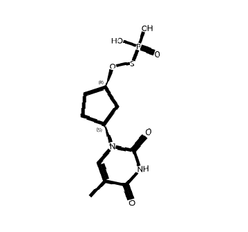 Cc1cn([C@H]2CC[C@@H](OSP(=O)(O)O)C2)c(=O)[nH]c1=O